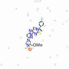 CCc1nc2ccc(N3CCN([S+](C)[O-])[C@H](COC)C3)nn2c1N(C)c1nc(-c2ccc(F)cc2)cs1